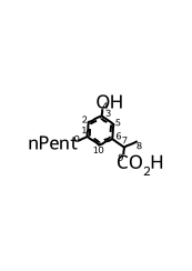 CCCCCc1cc(O)cc(C(C)C(=O)O)c1